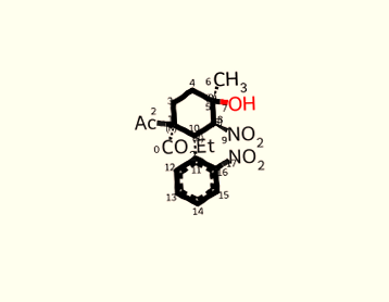 CCOC(=O)[C@]1(C(C)=O)CC[C@@](C)(O)[C@@H]([N+](=O)[O-])[C@@H]1c1ccccc1[N+](=O)[O-]